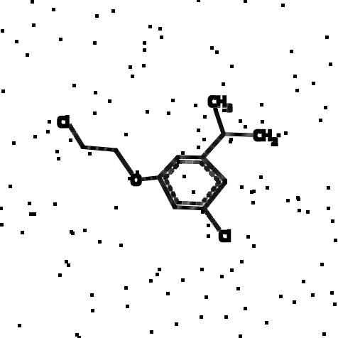 [CH2]C(C)c1cc(Cl)cc(OCCCl)c1